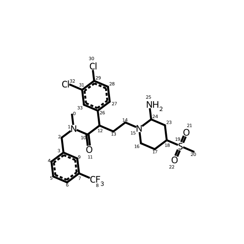 CN(Cc1cccc(C(F)(F)F)c1)C(=O)C(CCN1CCC(S(C)(=O)=O)CC1N)c1ccc(Cl)c(Cl)c1